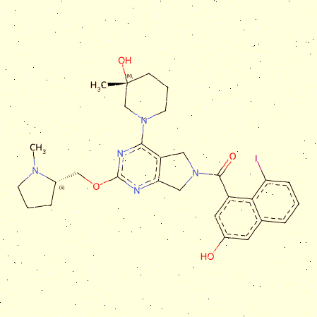 CN1CCC[C@H]1COc1nc2c(c(N3CCC[C@@](C)(O)C3)n1)CN(C(=O)c1cc(O)cc3cccc(I)c13)C2